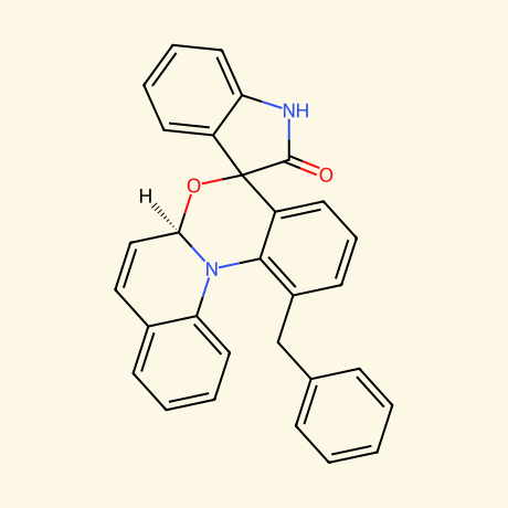 O=C1Nc2ccccc2C12O[C@@H]1C=Cc3ccccc3N1c1c(Cc3ccccc3)cccc12